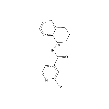 O=C(N[C@H]1CCCc2ccccc21)c1ccnc(Br)c1